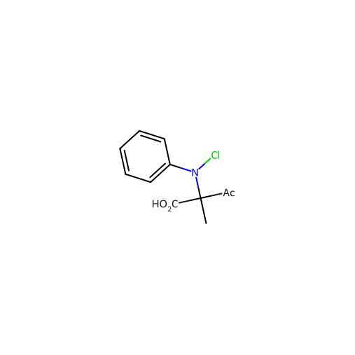 CC(=O)C(C)(C(=O)O)N(Cl)c1ccccc1